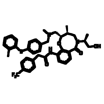 Cc1ccccc1Sc1ccc(CN(C)C[C@H]2Oc3c(NC(=O)Cc4ccc(C(F)(F)F)cc4)cccc3C(=O)N([C@@H](C)CO)C[C@H]2C)cc1